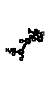 COC(=O)c1cc(C#Cc2ccc(OCc3c(-c4c(Cl)cccc4Cl)noc3C3CC3)cc2Cl)cc(C=O)c1